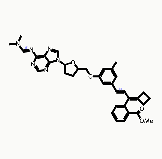 COC(=O)c1ccccc1C(/C=C/c1cc(C)cc(OCC2CCC(n3cnc4c(/N=C/N(C)C)ncnc43)O2)c1)=C1CCC1